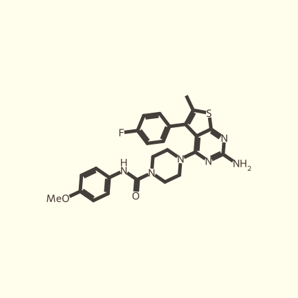 COc1ccc(NC(=O)N2CCN(c3nc(N)nc4sc(C)c(-c5ccc(F)cc5)c34)CC2)cc1